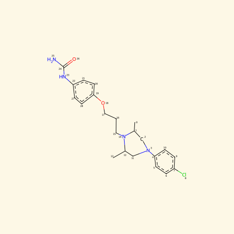 CC1CN(c2ccc(Cl)cc2)CC(C)N1CCCOc1ccc(NC(N)=O)cc1